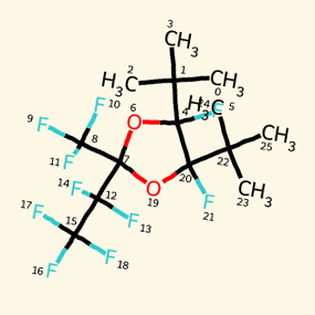 CC(C)(C)C1(F)OC(C(F)(F)F)(C(F)(F)C(F)(F)F)OC1(F)C(C)(C)C